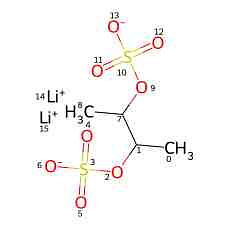 CC(OS(=O)(=O)[O-])C(C)OS(=O)(=O)[O-].[Li+].[Li+]